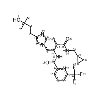 CC(C)(O)CCc1cn2cc(NC(=O)c3cccc(C(F)(F)F)n3)c(C(=O)NCC3CC3)cc2n1